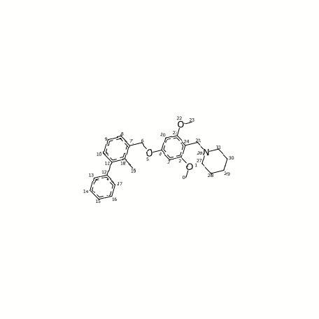 COc1cc(OCc2cccc(-c3ccccc3)c2C)cc(OC)c1CN1CCCCC1